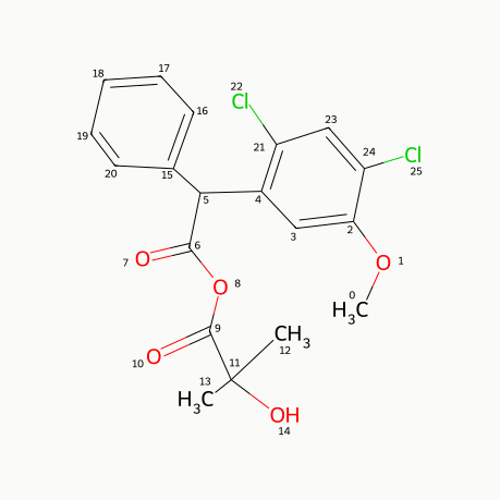 COc1cc(C(C(=O)OC(=O)C(C)(C)O)c2ccccc2)c(Cl)cc1Cl